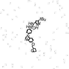 CC(C)(C)c1cc(NC(=O)Nc2ccc(-n3cnc4cc(OCC5CCCO5)ccc43)cc2)[nH]n1